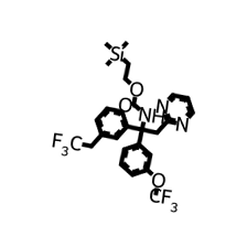 C[Si](C)(C)CCOC(=O)NC(Cc1ncccn1)(c1cccc(CC(F)(F)F)c1)c1cccc(OC(F)(F)F)c1